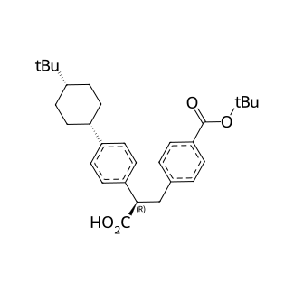 CC(C)(C)OC(=O)c1ccc(C[C@@H](C(=O)O)c2ccc([C@H]3CC[C@@H](C(C)(C)C)CC3)cc2)cc1